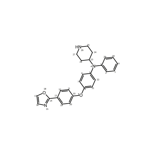 c1ccc(N(c2ccc(Oc3ccc(-c4ncco4)cc3)cc2)C2CCNCC2)cc1